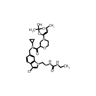 CC/C=C(\OC(C)(C)O)N1CCOC(C(=O)N(Cc2ccc3c(Cl)cn(CCNC(=O)NCC)c3c2)C2CC2)C1